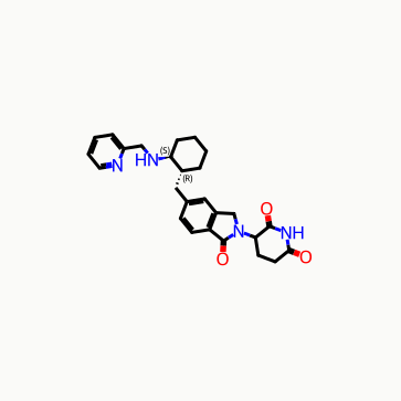 O=C1CCC(N2Cc3cc(C[C@H]4CCCC[C@@H]4NCc4ccccn4)ccc3C2=O)C(=O)N1